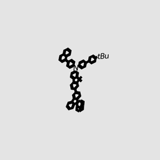 CC(C)(C)c1ccc(-c2ccc(N(c3ccc(-c4cccc5ccccc45)cc3)c3ccc4c(c3)C(C)(C)c3cc(-c5ccc6c(c5)-c5ccccc5C65C6CC7CC(C6)CC5C7)ccc3-4)cc2)cc1